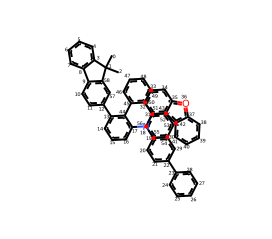 CC1(C)c2ccccc2-c2ccc(-c3cccc(N(c4ccc(-c5ccccc5)cc4)c4cccc5oc6ccccc6c45)c3-c3ccccc3-c3ccccc3)cc21